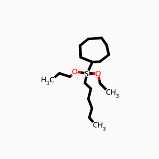 CCCCCC[Si](OCC)(OCCC)C1CCCCCCC1